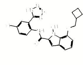 Cn1c(C(=O)Nc2ccc(Cl)cc2-c2nnn[nH]2)cc2cccc(OCC3CCC3)c21